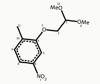 COC(COc1cc([N+](=O)[O-])ccc1C)OC